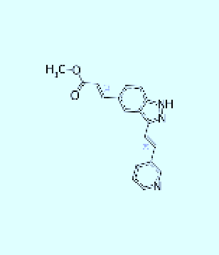 COC(=O)/C=C/c1ccc2[nH]nc(/C=C/c3cccnc3)c2c1